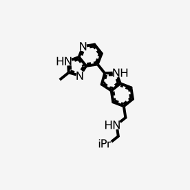 Cc1nc2c(-c3cc4cc(CNCC(C)C)ccc4[nH]3)ccnc2[nH]1